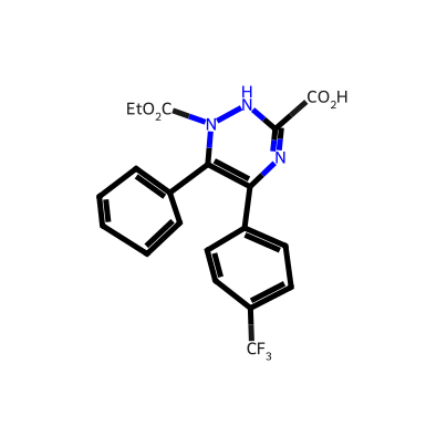 CCOC(=O)N1NC(C(=O)O)=NC(c2ccc(C(F)(F)F)cc2)=C1c1ccccc1